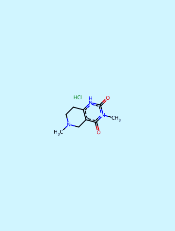 CN1CCc2[nH]c(=O)n(C)c(=O)c2C1.Cl